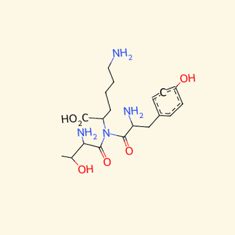 CC(O)C(N)C(=O)N(C(=O)C(N)Cc1ccc(O)cc1)C(CCCCN)C(=O)O